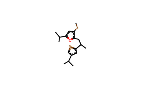 CSc1cc(C(C)C)oc1CC(C)c1cc(C(C)C)cs1